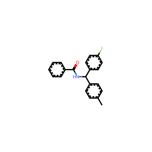 Cc1ccc(C(NC(=O)c2ccccc2)c2ccc(F)cc2)cc1